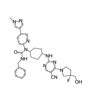 Cn1cc(-c2ccc(N(C(=O)NCc3ccccc3)C3CCC(Nc4ncc(C#N)c(N5CCC(F)(CO)C5)n4)CC3)nc2)cn1